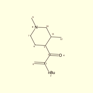 C=C(CCCC)C(=O)C1CCN(C)CC1C